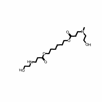 CN(CCO)CCC(=O)OCCCCCCOC(=O)CCNCCO